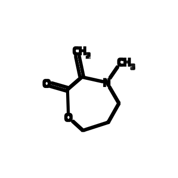 C=C1C(=O)OCCCN1C